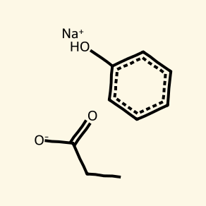 CCC(=O)[O-].Oc1ccccc1.[Na+]